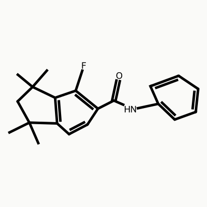 CC1(C)CC(C)(C)c2c1ccc(C(=O)Nc1ccccc1)c2F